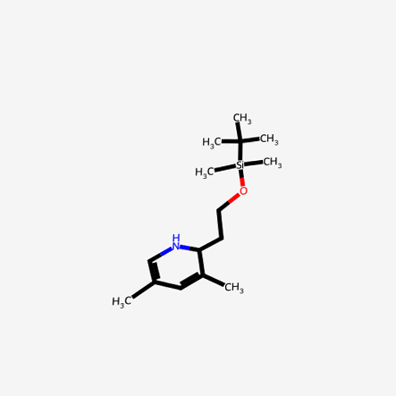 CC1=CNC(CCO[Si](C)(C)C(C)(C)C)C(C)=C1